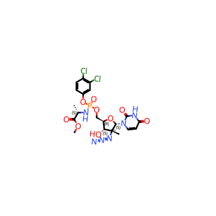 COC(=O)[C@H](C)NP(=O)(OC[C@H]1O[C@H](n2ccc(=O)[nH]c2=O)[C@](C)(N=[N+]=[N-])[C@@H]1O)Oc1ccc(Cl)c(Cl)c1